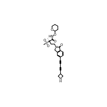 C[C@@](CCN1Cc2cc(C#CC#CC3CNC3)ccc2C1=O)(C(=O)NOC1CCCCO1)S(C)(=O)=O